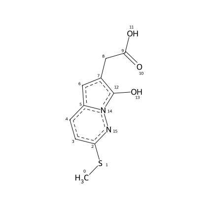 CSc1ccc2cc(CC(=O)O)c(O)n2n1